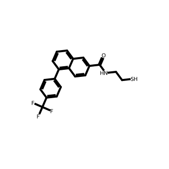 O=C(NCCS)c1ccc2c(-c3ccc(C(F)(F)F)cc3)cccc2c1